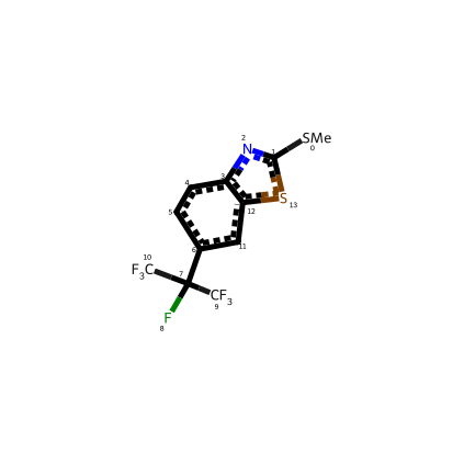 CSc1nc2ccc(C(F)(C(F)(F)F)C(F)(F)F)cc2s1